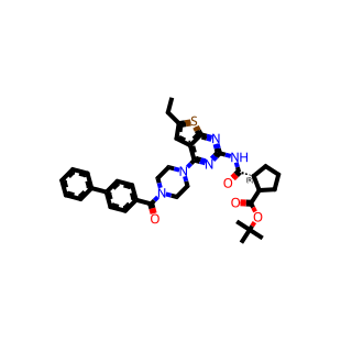 CCc1cc2c(N3CCN(C(=O)c4ccc(-c5ccccc5)cc4)CC3)nc(NC(=O)[C@@H]3CCCC3C(=O)OC(C)(C)C)nc2s1